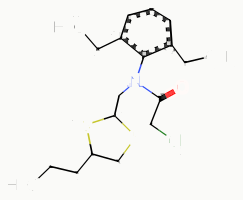 CCCC1CSC(CN(C(=O)CCl)c2c(CC)cccc2CC)S1